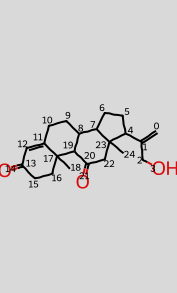 C=C(CO)C1CCC2C3CCC4=CC(=O)CCC4(C)C3C(=O)CC12C